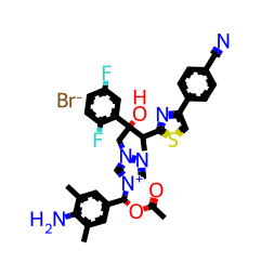 CC(=O)OC(c1cc(C)c(N)c(C)c1)[n+]1cnn(CC(O)(c2cc(F)ccc2F)C(C)c2nc(-c3ccc(C#N)cc3)cs2)c1.[Br-]